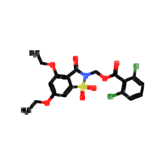 CCOc1cc(OCC)c2c(c1)S(=O)(=O)N(COC(=O)c1c(Cl)cccc1Cl)C2=O